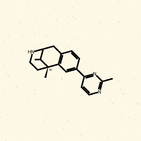 Cc1nccc(-c2ccc3c(c2)[C@]2(C)CCNC(C3)C2C)n1